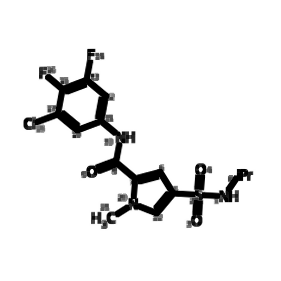 CC(C)NS(=O)(=O)c1cc(C(=O)Nc2cc(F)c(F)c(Cl)c2)n(C)c1